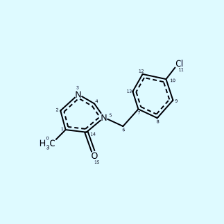 Cc1cncn(Cc2ccc(Cl)cc2)c1=O